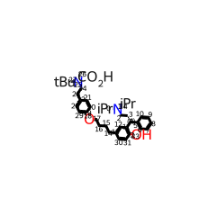 CC(C)N(CC[C@H](c1ccccc1)c1cc(CCCCOc2ccc(CCN(C(=O)O)C(C)(C)C)cc2)ccc1O)C(C)C